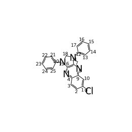 Clc1ccc2nc3c(nc2c1)N(c1ccccc1)CN3c1ccccc1